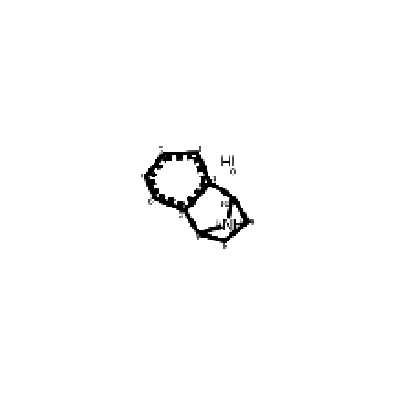 I.c1ccc2c(c1)C1CCC2N1